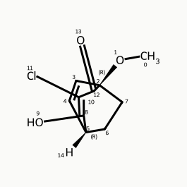 CO[C@@]12C=C[C@@H](CC1)C(O)=C(Cl)C2=O